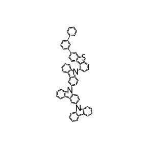 c1ccc(-c2cccc(-c3ccc4c(c3)sc3cccc(-n5c6ccccc6c6cc(-n7c8ccccc8c8cc(-n9c%10ccccc%10c%10ccccc%109)ccc87)ccc65)c34)c2)cc1